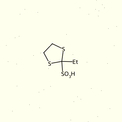 CCC1(S(=O)(=O)O)SCCS1